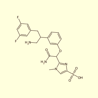 Cn1cc(S(=O)(=O)O)nc1C(Oc1cccc(C(CN)Cc2cc(F)cc(F)c2)c1)C(N)=O